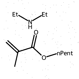 C=C(C)C(=O)OCCCCC.CCNCC